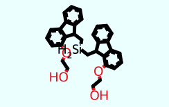 OCCOc1cccc2c1C(C[SiH2]CC1c3ccccc3-c3cccc(OCCO)c31)c1ccccc1-2